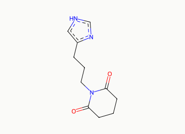 O=C1CCCC(=O)N1CCCc1c[nH]cn1